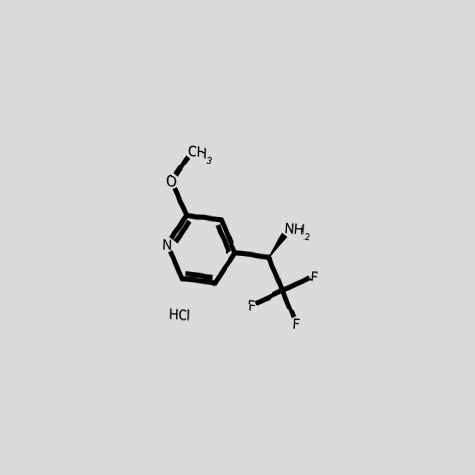 COc1cc([C@@H](N)C(F)(F)F)ccn1.Cl